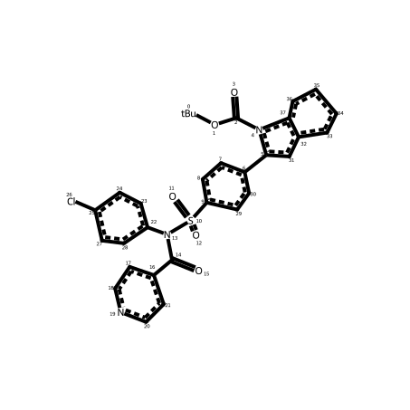 CC(C)(C)OC(=O)n1c(-c2ccc(S(=O)(=O)N(C(=O)c3ccncc3)c3ccc(Cl)cc3)cc2)cc2ccccc21